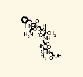 C[C@H](NC(=O)CNC(=O)[C@H](C)NC(=O)CNC(=O)[C@H](Cc1ccccc1)NC(=O)CN)C(=O)NCC(=O)O